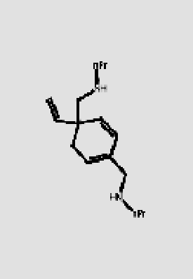 C=CC1(CNCCC)C=CC(CNCCC)=CC1